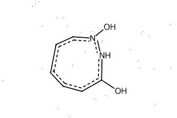 Oc1cccccn(O)[nH]1